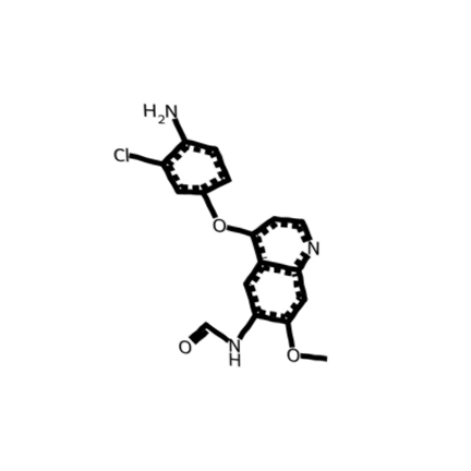 COc1cc2nccc(Oc3ccc(N)c(Cl)c3)c2cc1NC=O